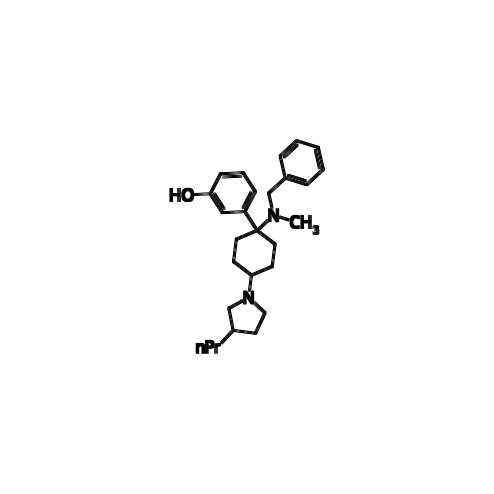 CCCC1CCN(C2CCC(c3cccc(O)c3)(N(C)Cc3ccccc3)CC2)C1